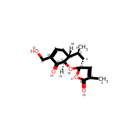 CC1=C[C@@]2(C[C@H](C)[C@H]3CC=C(CO)C(=O)[C@@H]3O2)OC1=O